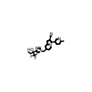 CCC(O)(c1cn(Cc2ccn3c(-c4ccc(C)nc4)c(C#N)cc3c2)nn1)C(F)(F)F